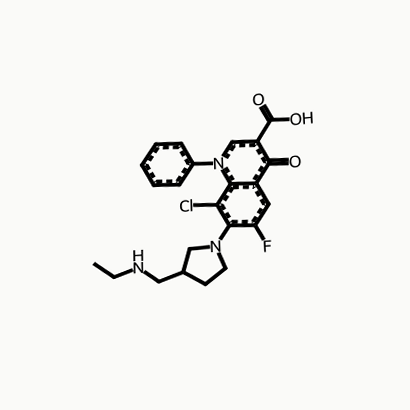 CCNCC1CCN(c2c(F)cc3c(=O)c(C(=O)O)cn(-c4ccccc4)c3c2Cl)C1